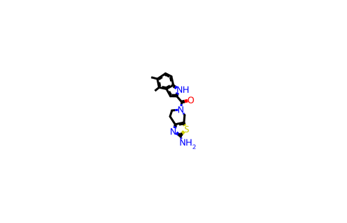 Cc1ccc2[nH]c(C(=O)N3CCc4nc(N)sc4C3)cc2c1C